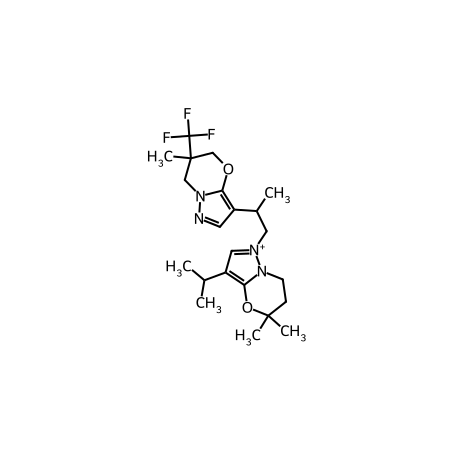 CC(C)c1c[n+](CC(C)c2cnn3c2OCC(C)(C(F)(F)F)C3)n2c1OC(C)(C)CC2